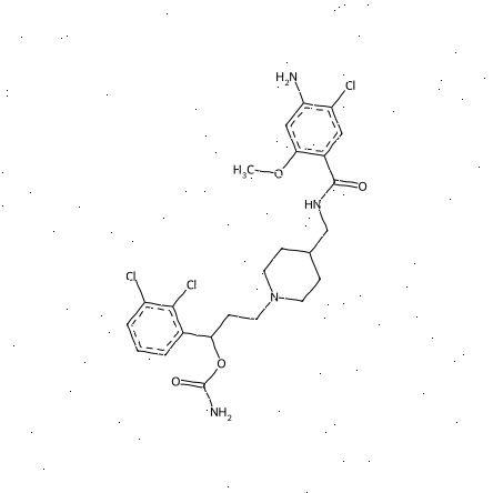 COc1cc(N)c(Cl)cc1C(=O)NCC1CCN(CCC(OC(N)=O)c2cccc(Cl)c2Cl)CC1